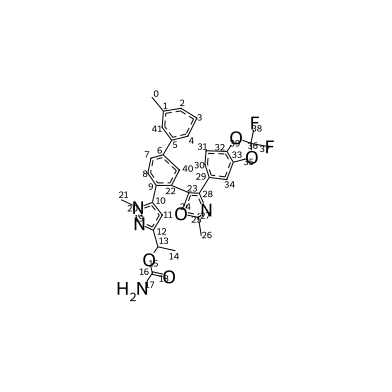 Cc1cccc(-c2ccc(-c3cc(C(C)OC(N)=O)nn3C)c(-c3oc(C)nc3-c3ccc4c(c3)OC(F)(F)O4)c2)c1